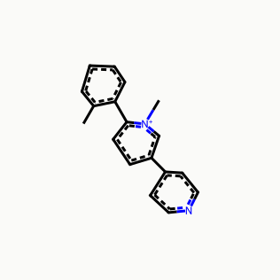 Cc1ccccc1-c1ccc(-c2ccncc2)c[n+]1C